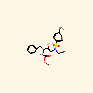 CC(C)CN(CC(O)[C@H](Cc1ccccc1)NC(=O)OC(C)(C)C)S(=O)(=O)C1=CCC([N+](=O)[O-])C=C1